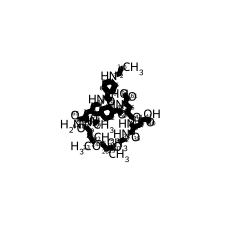 CCCNc1ccc(C(=O)NCCCCC(NC(=O)CCC(C)(C)OCCC(C)(C)OCCNC(=O)C(CCC(=O)O)NC(=O)CCC(NC(=O)C2CCC(CNC)CC2)C(=O)O)C(N)=O)cc1